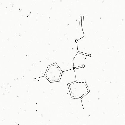 C#CCOC(=O)CP(=O)(c1ccc(C)cc1)c1ccc(C)cc1